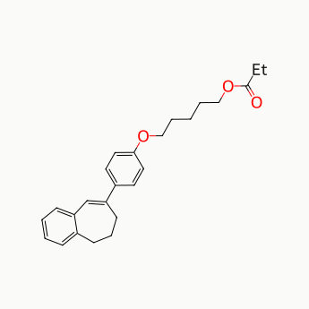 CCC(=O)OCCCCCOc1ccc(C2=Cc3ccccc3CCC2)cc1